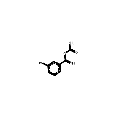 N=C(OC(N)=O)c1cccc(Br)c1